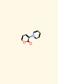 O=c1occcc1-[n+]1ccccc1